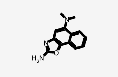 CN(C)c1cc2nc(N)oc2c2ccccc12